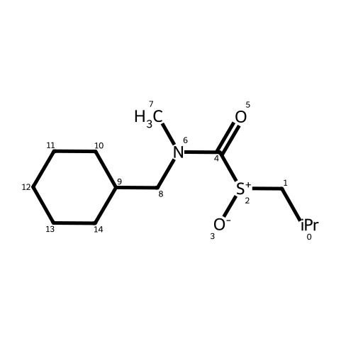 CC(C)C[S+]([O-])C(=O)N(C)CC1CCCCC1